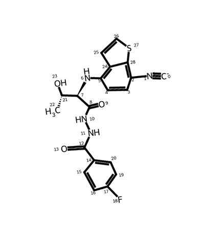 [C-]#[N+]c1ccc(N[C@@H](C(=O)NNC(=O)c2ccc(F)cc2)[C@H](C)O)c2ccsc12